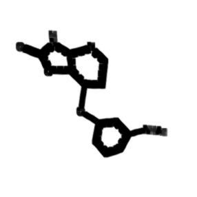 CC(=O)Nc1cccc(Oc2ccnc3[nH]c(=O)oc23)c1